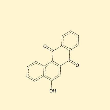 O=C1c2ccccc2C(=O)c2c1cc(O)c1ccccc21